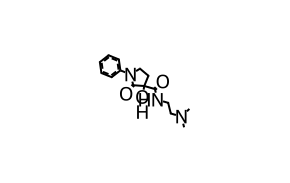 CN(C)CCNC(=O)C1(O)CCN(c2ccccc2)C1=O